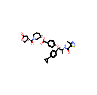 Cc1nnsc1C(=O)N[C@@H](C)[C@H](Oc1ccc(C(=O)O[C@H]2CCCN(C(=O)[C@H]3COC(=O)C3)C2)cc1)c1ccc(C2CC2)cc1